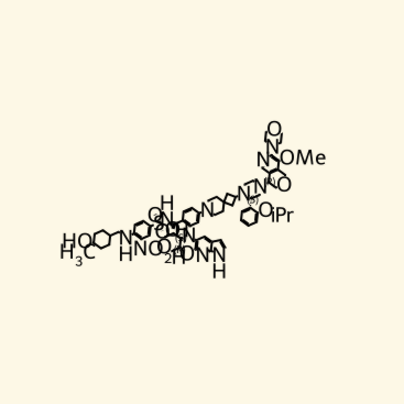 COc1c(N2CCOCC2)ncc2c1COC[C@@H]2N1CCN(C2CC3(CCN(c4ccc(C(=O)NS(=O)(=O)c5ccc(NCC6CCC(C)(O)CC6)c([N+](=O)[O-])c5)c(N5c6cc7cc[nH]c7nc6O[C@H]6COCC[C@@H]65)c4)CC3)C2)[C@@H](c2ccccc2OC(C)C)C1